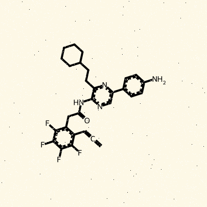 C=C=Cc1c(F)c(F)c(F)c(F)c1CC(=O)Nc1ncc(-c2ccc(N)cc2)nc1CCC1CCCCC1